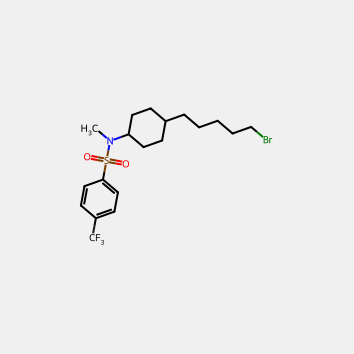 CN(C1CCC(CCCCCBr)CC1)S(=O)(=O)c1ccc(C(F)(F)F)cc1